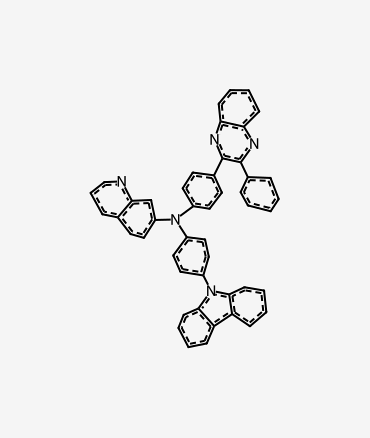 c1ccc(-c2nc3ccccc3nc2-c2ccc(N(c3ccc(-n4c5ccccc5c5ccccc54)cc3)c3ccc4cccnc4c3)cc2)cc1